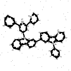 c1ccc(-c2cc(-n3c4ccccc4c4ccc(-c5ccc6c7ncccc7n(-c7ccccc7)c6c5)cc43)cc(-c3ccccn3)n2)cc1